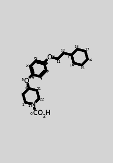 O=C(O)N1CCC(Oc2ccc(OCCC3CCCCC3)cc2)CC1